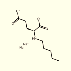 CCCCCN[C@@H](CCC(=O)[O-])C(=O)[O-].[Na+].[Na+]